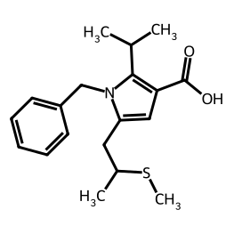 CSC(C)Cc1cc(C(=O)O)c(C(C)C)n1Cc1ccccc1